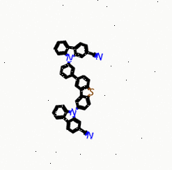 N#Cc1ccc2c3ccccc3n(-c3cccc(-c4ccc5sc6ccc(-n7c8ccccc8c8ccc(C#N)cc87)cc6c5c4)c3)c2c1